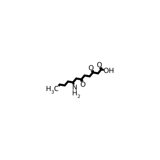 CCCCC(N)CC(=O)CCC(=O)CC(=O)O